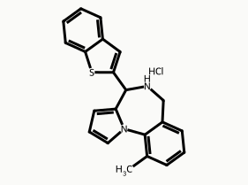 Cc1cccc2c1-n1cccc1C(c1cc3ccccc3s1)NC2.Cl